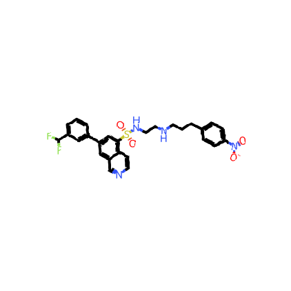 O=[N+]([O-])c1ccc(CCCNCCNS(=O)(=O)c2cc(-c3cccc(C(F)F)c3)cc3cnccc23)cc1